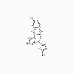 Clc1ccc(OC(CCc2ccc(Cl)s2)Cn2ccnc2)c(Cl)c1